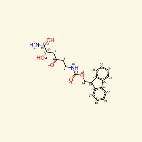 N[C@H](O)[C@@H](O)CC(=O)CCNC(=O)OCC1c2ccccc2-c2ccccc21